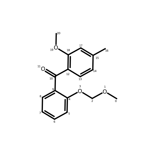 COCOc1ccccc1C(=O)c1ccc(C)cc1OC